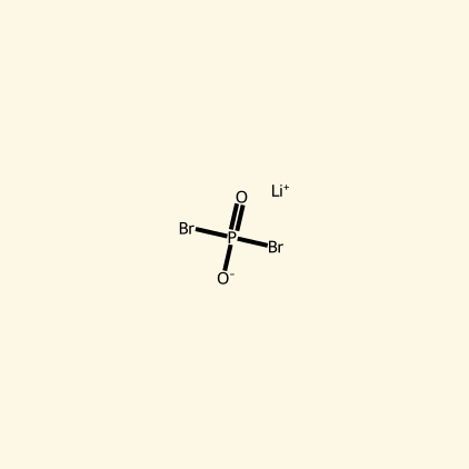 O=P([O-])(Br)Br.[Li+]